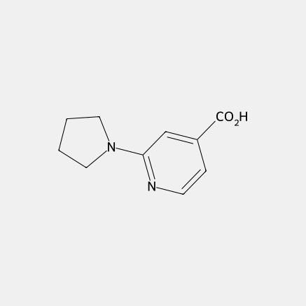 O=C(O)c1ccnc(N2CCCC2)c1